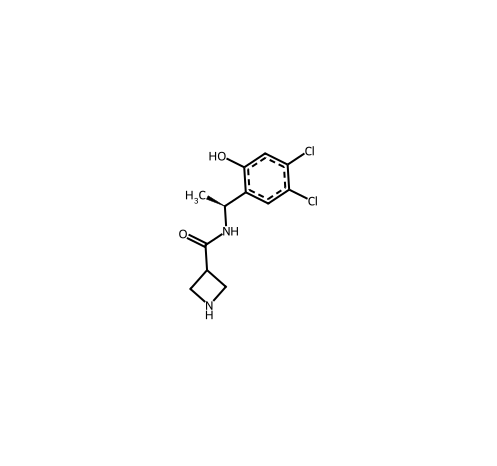 C[C@H](NC(=O)C1CNC1)c1cc(Cl)c(Cl)cc1O